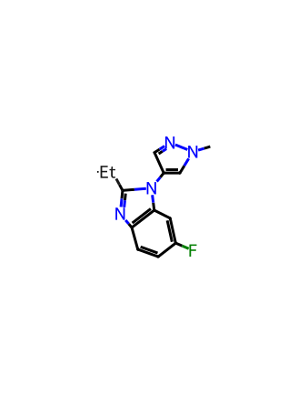 C[CH]c1nc2ccc(F)cc2n1-c1cnn(C)c1